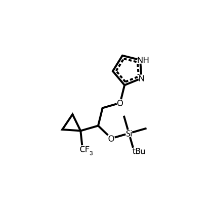 CC(C)(C)[Si](C)(C)OC(COc1cc[nH]n1)C1(C(F)(F)F)CC1